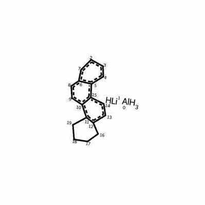 [AlH3].[LiH].c1ccc2c(c1)ccc1c3c(ccc12)CCCC3